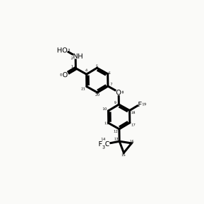 O=C(NO)c1ccc(Oc2ccc(C3(C(F)(F)F)CC3)cc2F)cc1